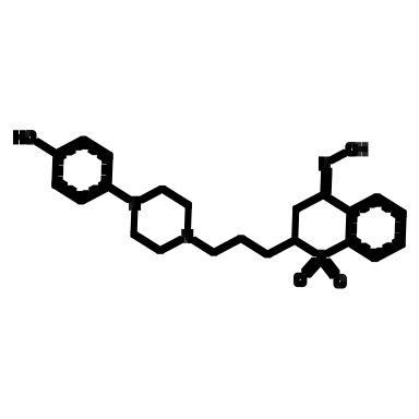 O=S1(=O)c2ccccc2/C(=N\O)CC1CCCN1CCN(c2ccc(O)cc2)CC1